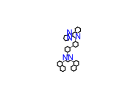 c1cc(-c2cccc(-c3nc4ccccc4c4nc5ccccn5c34)c2)cc(-c2nc(-c3cccc4ccccc34)cc(-c3cccc4ccccc34)n2)c1